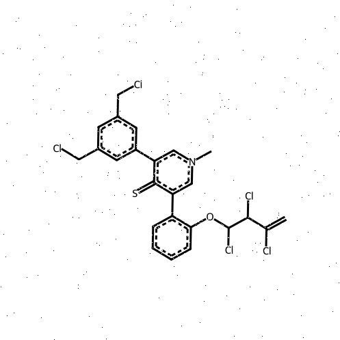 C=C(Cl)C(Cl)C(Cl)Oc1ccccc1-c1cn(C)cc(-c2cc(CCl)cc(CCl)c2)c1=S